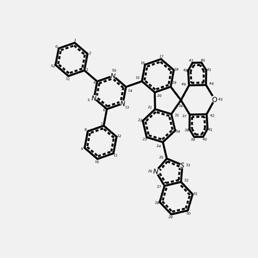 c1ccc(-c2nc(-c3ccccc3)nc(-c3cccc4c3-c3ccc(-c5nc6ccccc6s5)cc3C43c4ccccc4Oc4ccccc43)n2)cc1